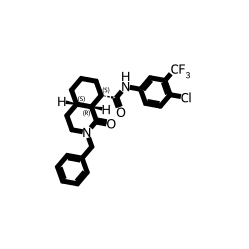 O=C(Nc1ccc(Cl)c(C(F)(F)F)c1)[C@H]1CCC[C@H]2CCN(Cc3ccccc3)C(=O)[C@H]21